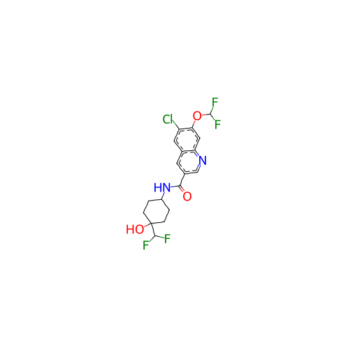 O=C(NC1CCC(O)(C(F)F)CC1)c1cnc2cc(OC(F)F)c(Cl)cc2c1